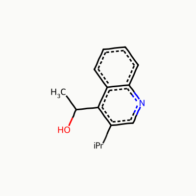 CC(C)c1cnc2ccccc2c1C(C)O